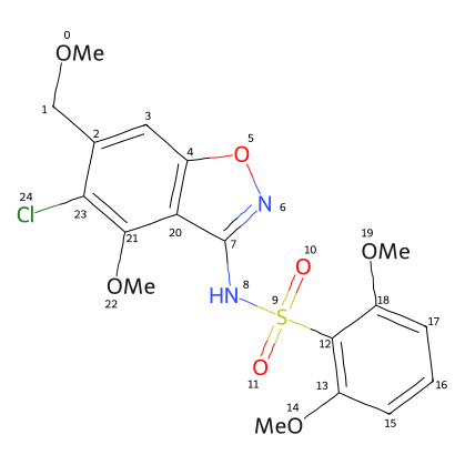 COCc1cc2onc(NS(=O)(=O)c3c(OC)cccc3OC)c2c(OC)c1Cl